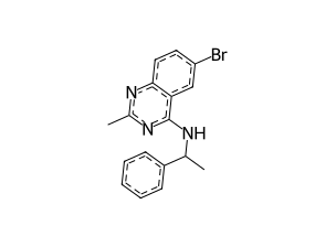 Cc1nc(NC(C)c2ccccc2)c2cc(Br)ccc2n1